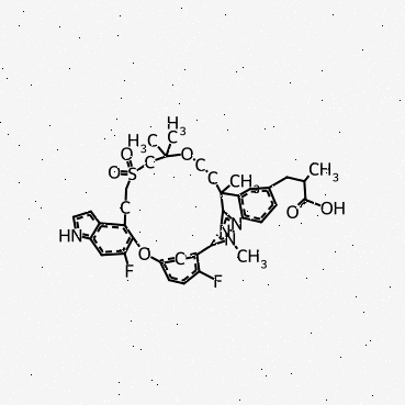 CC(Cc1cccc(C2(C)CCOC(C)(C)CS(=O)(=O)CCc3c(c(F)cc4[nH]ccc34)Oc3ccc(F)c(c3)-c3nc2nn3C)c1)C(=O)O